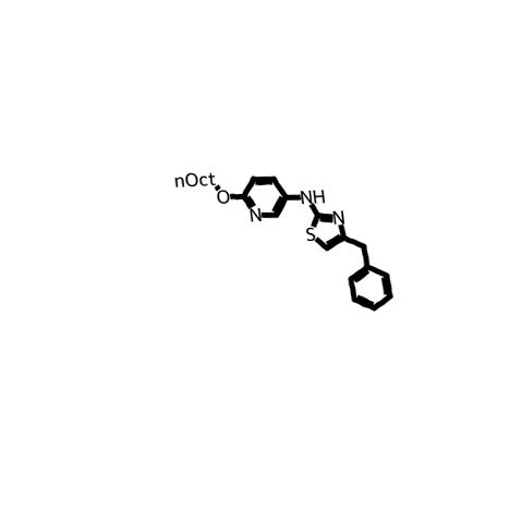 CCCCCCCCOc1ccc(Nc2nc(Cc3ccccc3)cs2)cn1